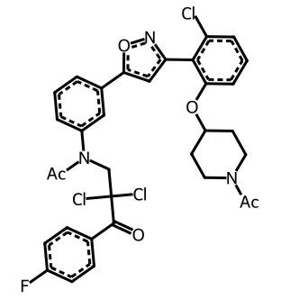 CC(=O)N1CCC(Oc2cccc(Cl)c2-c2cc(-c3cccc(N(CC(Cl)(Cl)C(=O)c4ccc(F)cc4)C(C)=O)c3)on2)CC1